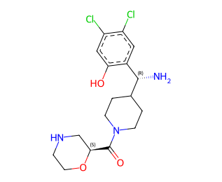 N[C@@H](c1cc(Cl)c(Cl)cc1O)C1CCN(C(=O)[C@@H]2CNCCO2)CC1